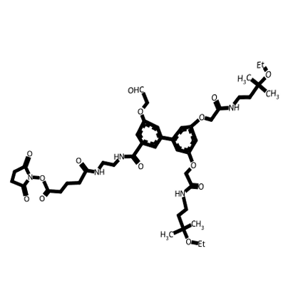 CCOC(C)(C)CCNC(=O)COc1cc(OCC(=O)NCCC(C)(C)OCC)cc(-c2cc(OCC=O)cc(C(=O)NCCNC(=O)CCCC(=O)ON3C(=O)CCC3=O)c2)c1